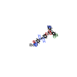 CCC(C)n1ncn(-c2ccc(NCCNc3ccc(OC[C@@H]4CO[C@@](Cc5ccnnc5)(c5ccc(Cl)c(Cl)c5)O4)cc3)cc2)c1=O